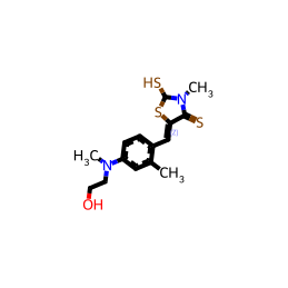 Cc1cc(N(C)CCO)ccc1/C=C1\SC(S)N(C)C1=S